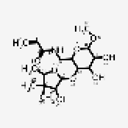 C=CC(=O)NCC1OC(OC)C(O)C(O)C1OC1OC(C)C(C)(C)C1O